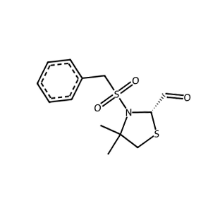 CC1(C)CS[C@@H]([C]=O)N1S(=O)(=O)Cc1ccccc1